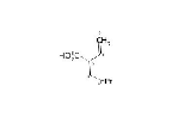 C=C[C@H](CCCC)C(=O)O